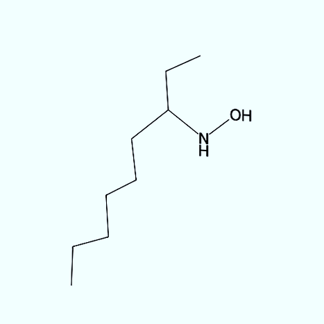 CCCCCCC(CC)NO